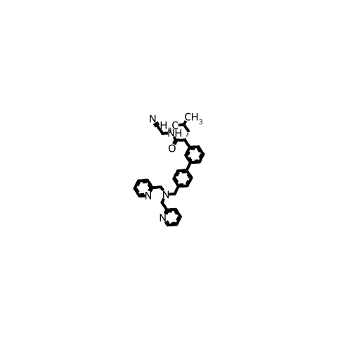 CC(C)C[C@@H](C(=O)NCC#N)c1cccc(-c2ccc(CN(Cc3ccccn3)Cc3ccccn3)cc2)c1